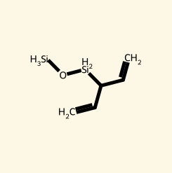 C=CC(C=C)[SiH2]O[SiH3]